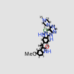 COc1ccc2c(c1)[C@]1(C[C@H]1c1ccc3c(Nc4ncnc(N5CCN(C)CC5)c4Cl)n[nH]c3c1)C(=O)N2